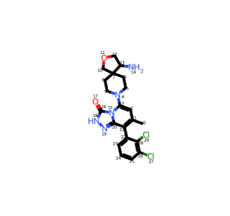 Cc1cc(N2CCC3(CC2)COCC3N)n2c(=O)[nH]nc2c1-c1cccc(Cl)c1Cl